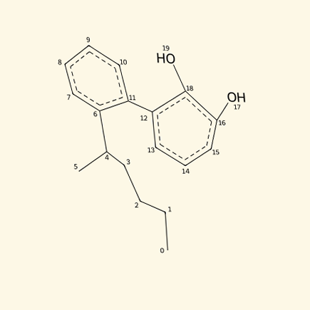 CCCCC(C)c1ccccc1-c1cccc(O)c1O